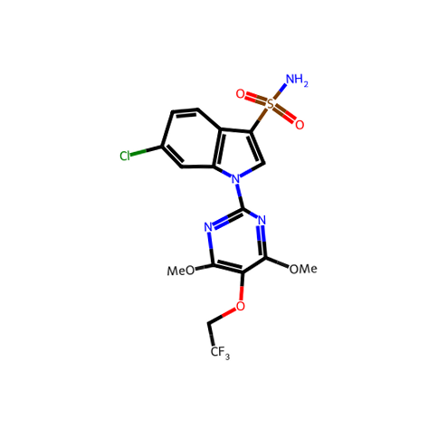 COc1nc(-n2cc(S(N)(=O)=O)c3ccc(Cl)cc32)nc(OC)c1OCC(F)(F)F